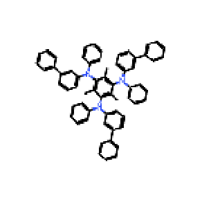 Cc1c(N(c2ccccc2)c2cccc(-c3ccccc3)c2)c(C)c(N(c2ccccc2)c2cccc(-c3ccccc3)c2)c(C)c1N(c1ccccc1)c1cccc(-c2ccccc2)c1